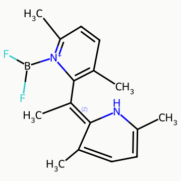 CC1=CC=C(C)/C(=C(\C)c2c(C)ccc(C)[n+]2B(F)F)N1